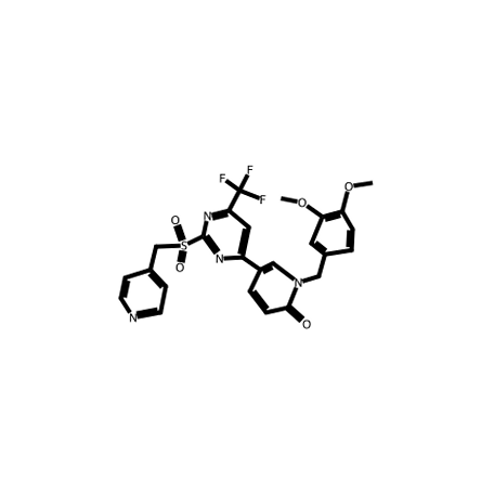 COc1ccc(Cn2cc(-c3cc(C(F)(F)F)nc(S(=O)(=O)Cc4ccncc4)n3)ccc2=O)cc1OC